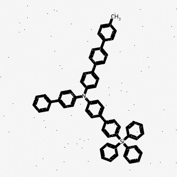 Cc1ccc(-c2ccc(-c3ccc(N(c4ccc(-c5ccccc5)cc4)c4ccc(-c5ccc([Si](c6ccccc6)(c6ccccc6)c6ccccc6)cc5)cc4)cc3)cc2)cc1